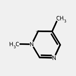 CC1=CN=CN(C)[CH]1